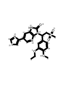 CCOc1cc(C(CS(C)(=O)=O)n2c(=O)[nH]c3cc(-c4cscn4)cnc32)ccc1OC